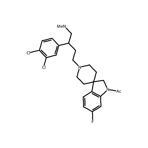 CNCC(CCN1CCC2(CC1)CN(C(C)=O)c1cc(F)ccc12)c1ccc(Cl)c(Cl)c1